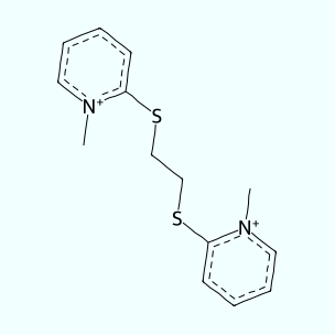 C[n+]1ccccc1SCCSc1cccc[n+]1C